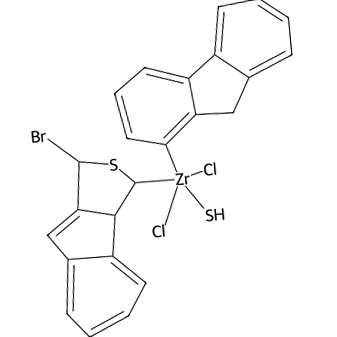 [SH][Zr]([Cl])([Cl])([c]1cccc2c1Cc1ccccc1-2)[CH]1SC(Br)C2=Cc3ccccc3C21